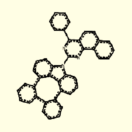 c1ccc(-c2nc(-n3c4cccc5c6ccccc6c6ccccc6c6cccc3c6c54)nc3c2ccc2ccccc23)cc1